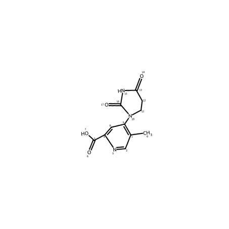 Cc1cnc(C(=O)O)cc1N1CCC(=O)NC1=O